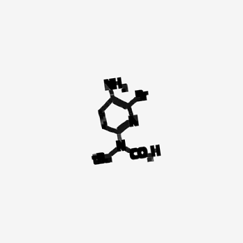 CC(C)(C)N(C(=O)O)c1ccc(N)c(Br)n1